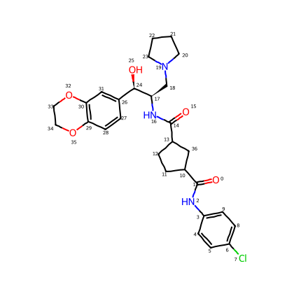 O=C(Nc1ccc(Cl)cc1)C1CCC(C(=O)N[C@H](CN2CCCC2)[C@H](O)c2ccc3c(c2)OCCO3)C1